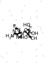 C#C[C@@]1(O)[C@H](O)[C@@H](CO)O[C@H]1n1cnc2c(N)nc(F)nc21